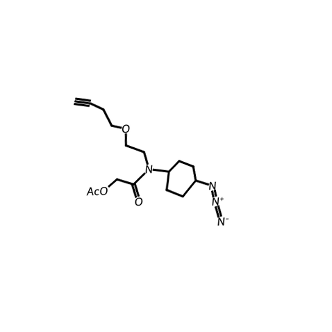 C#CCCOCCN(C(=O)COC(C)=O)C1CCC(N=[N+]=[N-])CC1